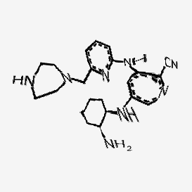 N#Cc1ncc(N[C@@H]2CCCC[C@@H]2N)cc1Nc1cccc(CN2CCNCC2)n1